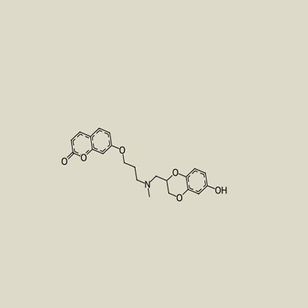 CN(CCCOc1ccc2ccc(=O)oc2c1)CC1COc2cc(O)ccc2O1